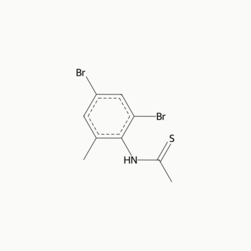 CC(=S)Nc1c(C)cc(Br)cc1Br